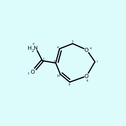 NC(=O)C1=C/COCO/C=C\1